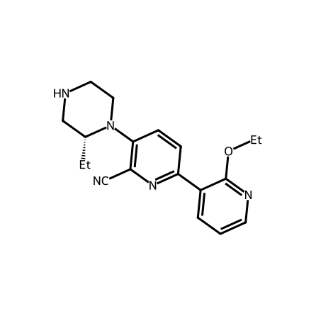 CCOc1ncccc1-c1ccc(N2CCNC[C@H]2CC)c(C#N)n1